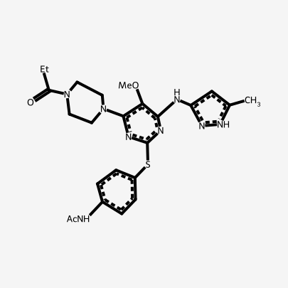 CCC(=O)N1CCN(c2nc(Sc3ccc(NC(C)=O)cc3)nc(Nc3cc(C)[nH]n3)c2OC)CC1